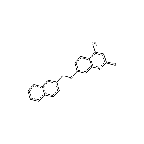 O=c1cc(C(F)(F)F)c2ccc(OCc3ccc4ccccc4c3)cc2o1